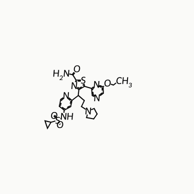 CCOc1cncc(-c2sc(C(N)=O)nc2C(CCN2CCCC2)c2cc(NS(=O)(=O)C3CC3)ccn2)n1